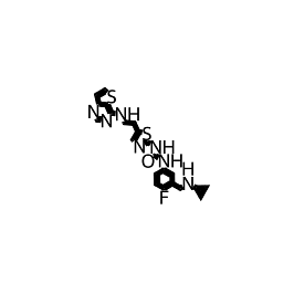 O=C(Nc1ccc(F)c(CNC2CC2)c1)Nc1ncc(CCNc2ncnc3ccsc23)s1